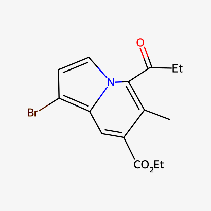 CCOC(=O)c1cc2c(Br)ccn2c(C(=O)CC)c1C